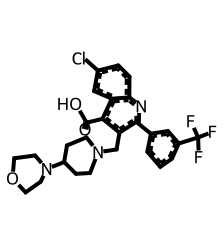 O=C(O)c1c(CN2CCC(N3CCOCC3)CC2)c(-c2cccc(C(F)(F)F)c2)nc2ccc(Cl)cc12